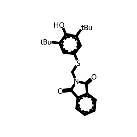 CC(C)(C)c1cc(SCN2C(=O)c3ccccc3C2=O)cc(C(C)(C)C)c1O